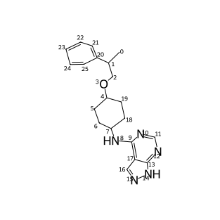 CC(COC1CCC(Nc2ncnc3[nH]ncc23)CC1)c1ccccc1